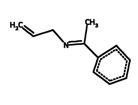 C=CCN=C(C)c1ccccc1